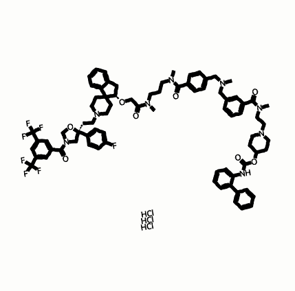 CN(Cc1ccc(C(=O)N(C)CCCN(C)C(=O)CO[C@H]2Cc3ccccc3C23CCN(CC[C@]2(c4ccc(F)cc4)CN(C(=O)c4cc(C(F)(F)F)cc(C(F)(F)F)c4)CO2)CC3)cc1)Cc1cccc(C(=O)N(C)CCN2CCC(OC(=O)Nc3ccccc3-c3ccccc3)CC2)c1.Cl.Cl.Cl